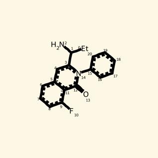 CCC(N)c1cc2cccc(F)c2c(=O)n1-c1ccccc1